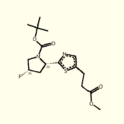 COC(=O)CCc1cnc([C@@H]2C[C@H](F)CN2C(=O)OC(C)(C)C)s1